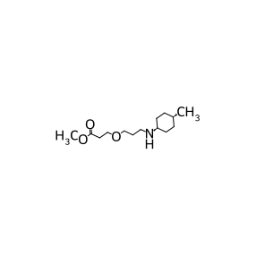 COC(=O)CCOCCCN[C@H]1CC[C@@H](C)CC1